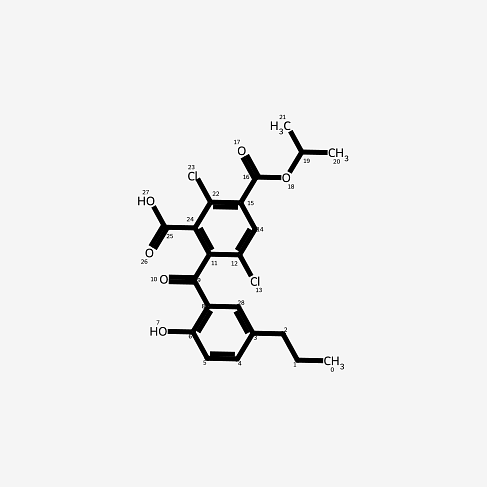 CCCc1ccc(O)c(C(=O)c2c(Cl)cc(C(=O)OC(C)C)c(Cl)c2C(=O)O)c1